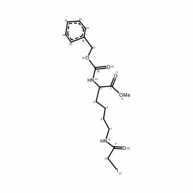 COC(=O)C(CCCCNC(=O)CI)NC(=O)OCc1ccccc1